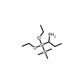 CCO[Si](OCC)(C(P)CC)[Si](C)(C)C